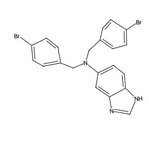 Brc1ccc(CN(Cc2ccc(Br)cc2)c2ccc3[nH]cnc3c2)cc1